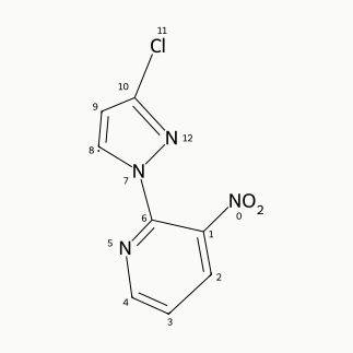 O=[N+]([O-])c1cccnc1-n1[c]cc(Cl)n1